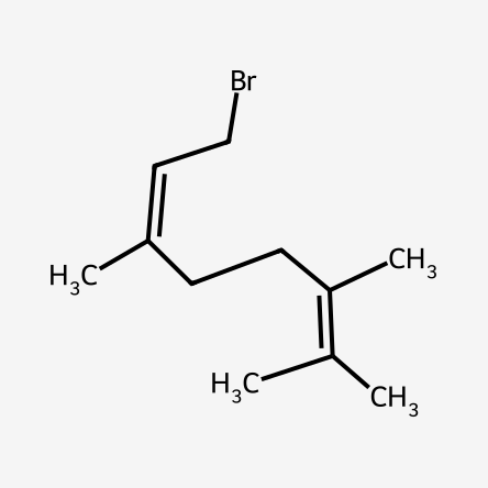 CC(=CCBr)CCC(C)=C(C)C